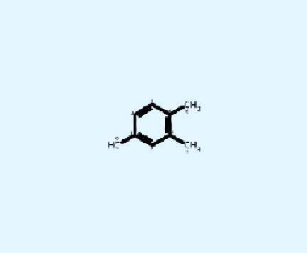 [CH]c1ccc(C)c(C)c1